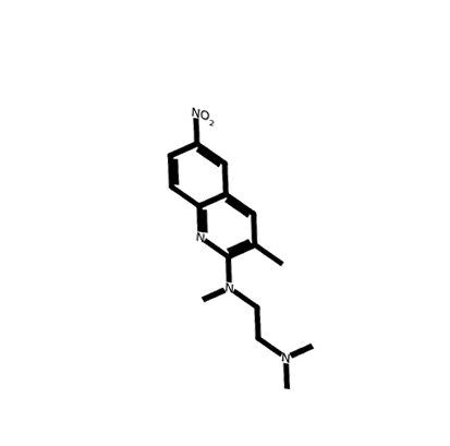 Cc1cc2cc([N+](=O)[O-])ccc2nc1N(C)CCN(C)C